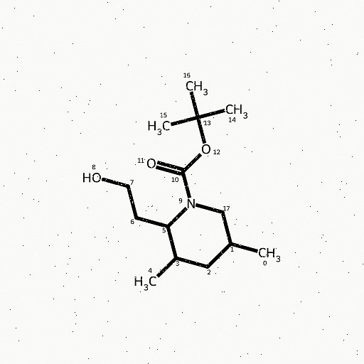 CC1CC(C)C(CCO)N(C(=O)OC(C)(C)C)C1